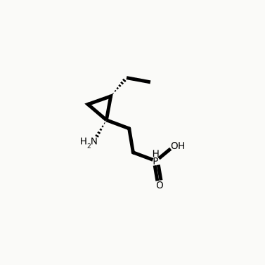 CC[C@H]1C[C@]1(N)CC[PH](=O)O